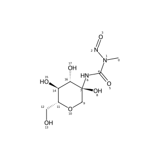 CN(N=O)C(=O)N[C@]1(O)CO[C@H](CO)[C@@H](O)[C@@H]1O